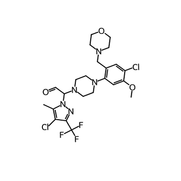 COc1cc(N2CCN(C(C=O)n3nc(C(F)(F)F)c(Cl)c3C)CC2)c(CN2CCOCC2)cc1Cl